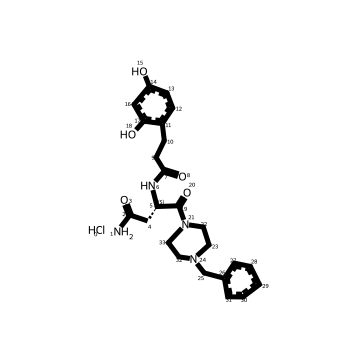 Cl.NC(=O)C[C@H](NC(=O)CCc1ccc(O)cc1O)C(=O)N1CCN(Cc2ccccc2)CC1